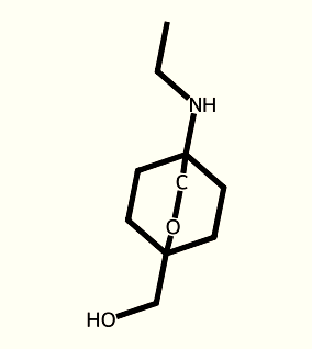 CCNC12CCC(CO)(CC1)OC2